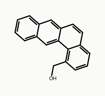 OCc1cccc2ccc3cc4ccccc4cc3c12